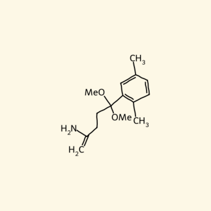 C=C(N)CCC(OC)(OC)c1cc(C)ccc1C